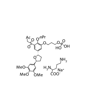 CCCOc1c(OCCCOP(=O)(O)O)cc([C@@H]2CC[C@@H](c3cc(OC)c(OC)c(OC)c3)O2)cc1S(=O)(=O)CC(C)=O.NCCCC(N)C(=O)[O-].[Na+]